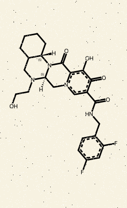 O=C(NCc1ccc(F)cc1F)c1cn2c(c(O)c1=O)C(=O)N1[C@H]3CCCCC3CN(CCO)[C@@H]1C2